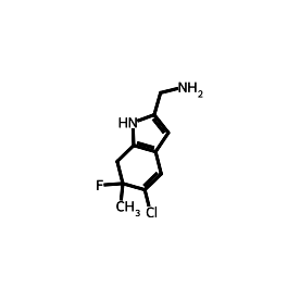 CC1(F)Cc2[nH]c(CN)cc2C=C1Cl